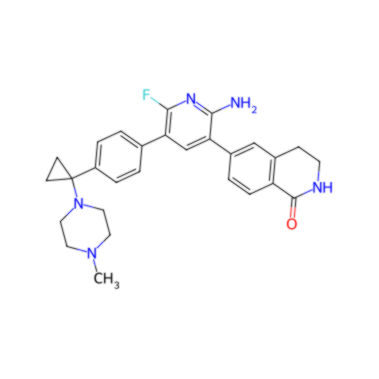 CN1CCN(C2(c3ccc(-c4cc(-c5ccc6c(c5)CCNC6=O)c(N)nc4F)cc3)CC2)CC1